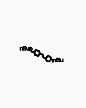 CCCCOCC1CCC(CCC2CCC(CCCC)CC2)CC1